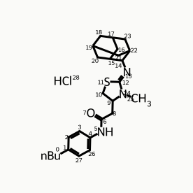 CCCCc1ccc(NC(=O)CC2CSC(=NC3C4CC5CC(C4)CC3C5)N2C)cc1.Cl